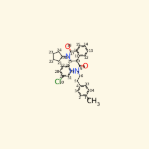 Cc1ccc(CCNC(=O)[C@@H]2c3ccccc3C(=O)N(C3CCCC3)[C@H]2c2ccc(Cl)cc2)cc1